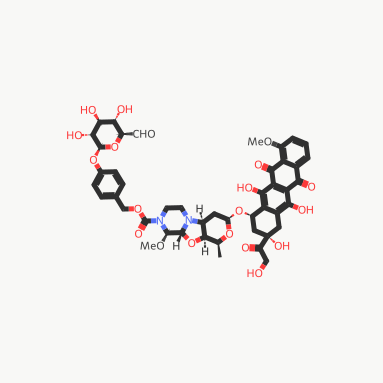 COc1cccc2c1C(=O)c1c(O)c3c(c(O)c1C2=O)C[C@@](O)(C(=O)CO)C[C@@H]3O[C@H]1C[C@H]2[C@H](O[C@@H]3[C@@H](OC)N(C(=O)OCc4ccc(O[C@@H]5O[C@H](C=O)[C@@H](O)[C@H](O)[C@H]5O)cc4)CCN32)[C@H](C)O1